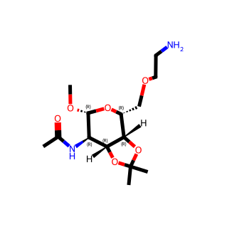 CO[C@@H]1O[C@H](COCCN)[C@@H]2OC(C)(C)O[C@@H]2[C@H]1NC(C)=O